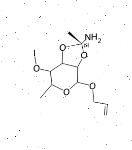 C=CCOC1OC(C)C(OI)C2O[C@](C)(N)OC12